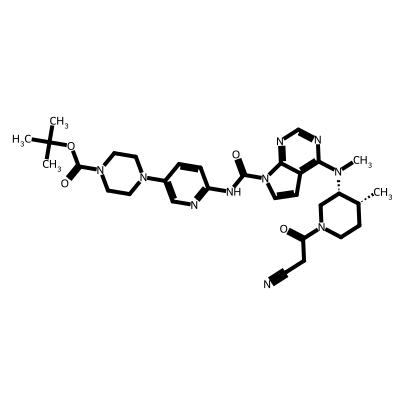 C[C@@H]1CCN(C(=O)CC#N)C[C@@H]1N(C)c1ncnc2c1ccn2C(=O)Nc1ccc(N2CCN(C(=O)OC(C)(C)C)CC2)cn1